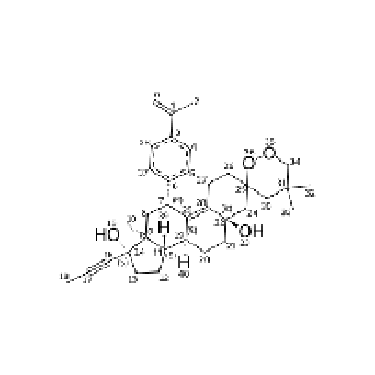 C=C(C)c1ccc([C@H]2C[C@@]3(C)[C@@H](CC[C@@]3(O)C#CC)[C@@H]3CC[C@@]4(O)CC5(CCC4=C32)CC(C)(C)COO5)cc1